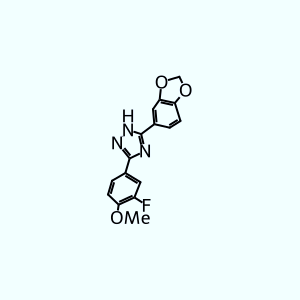 COc1ccc(-c2n[nH]c(-c3ccc4c(c3)OCO4)n2)cc1F